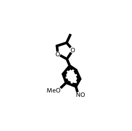 COc1cc(C2OCC(C)O2)ccc1N=O